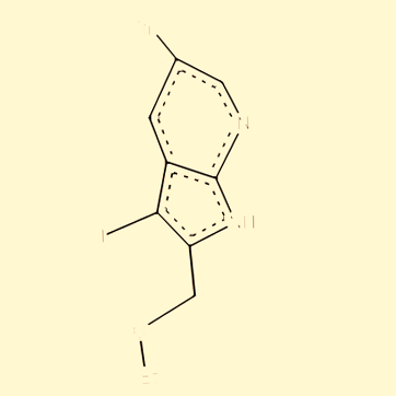 CCOCc1[nH]c2ncc(Br)cc2c1I